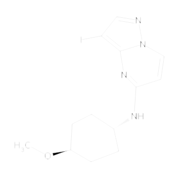 CO[C@H]1CC[C@H](Nc2ccn3ncc(I)c3n2)CC1